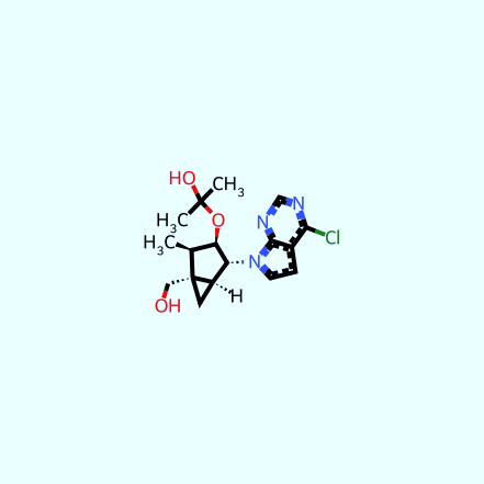 C[C@H]1[C@@H](OC(C)(C)O)[C@H](n2ccc3c(Cl)ncnc32)[C@H]2C[C@]21CO